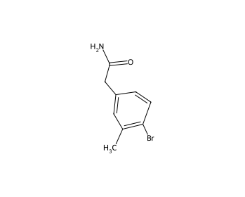 Cc1cc(CC(N)=O)ccc1Br